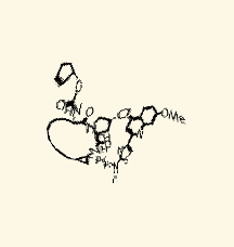 COc1ccc2c(O[C@@H]3C[C@H]4C(=O)N[C@]5(C(C)=O)CC5/C=C\CCCCC[C@H](NC(=O)OC5CCCC5)C(=O)N4C3)cc(-c3csc(NC(C)C)n3)nc2c1